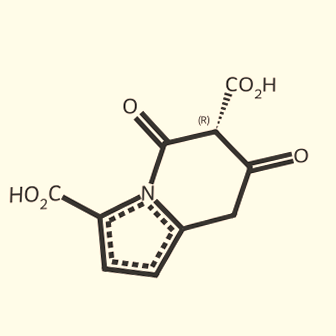 O=C(O)c1ccc2n1C(=O)[C@H](C(=O)O)C(=O)C2